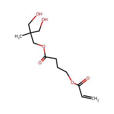 C=CC(=O)OCCCC(=O)OCC(C)(CO)CO